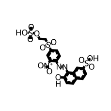 O=[N+]([O-])c1cc(S(=O)(=O)CCOS(=O)(=O)O)ccc1N=Nc1c(O)ccc2ccc(S(=O)(=O)O)cc12